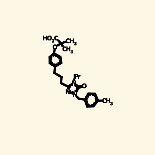 Cc1ccc(Cn2nc(CCCc3ccc(OC(C)(C)C(=O)O)cc3)n(C(C)C)c2=O)cc1